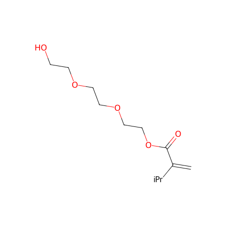 C=C(C(=O)OCCOCCOCCO)C(C)C